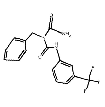 NC(=O)N(Cc1ccccc1)C(=O)Nc1cccc(C(F)(F)F)c1